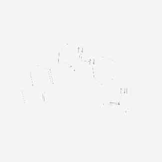 CC(=O)NC1CCCN(c2nccc(-c3ccc4ccccc4c3)n2)CC1